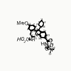 COc1ccc2c(c1)CC(NC(=O)O)Cn1c-2c(C2CCCCC2)c2ccc(C(=O)NS(=O)(=O)N(C)C)cc21